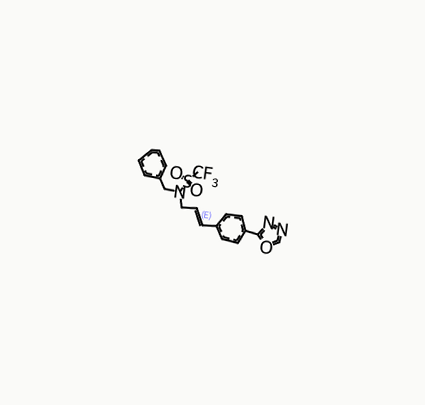 O=S(=O)(N(C/C=C/c1ccc(-c2nnco2)cc1)Cc1ccccc1)C(F)(F)F